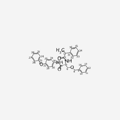 CC(C(=O)NC(COCc1ccccc1)C(=O)Nc1ccc(Oc2ccccc2)cc1)c1ccccc1